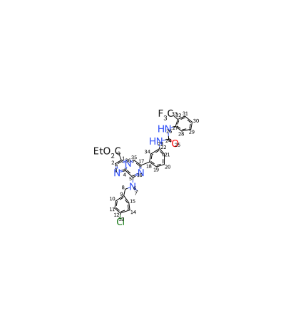 CCOC(=O)c1cnc2c(N(C)Cc3ccc(Cl)cc3)nc(-c3cccc(NC(=O)Nc4ccccc4C(F)(F)F)c3)cn12